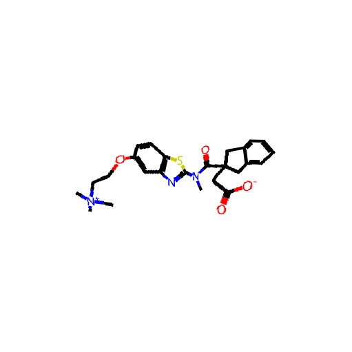 CN(C(=O)C1(CC(=O)[O-])Cc2ccccc2C1)c1nc2cc(OCC[N+](C)(C)C)ccc2s1